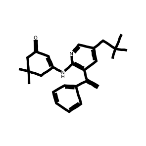 C=C(c1ccccc1)c1cc(CC(C)(C)C)cnc1NC1=CC(=O)CC(C)(C)C1